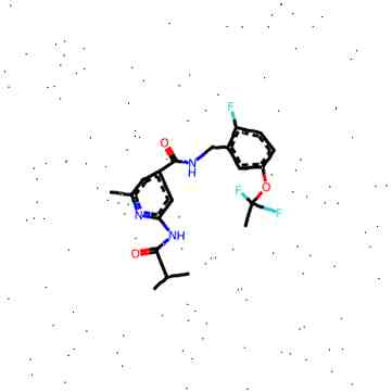 Cc1cc(C(=O)NCc2cc(OC(C)(F)F)ccc2F)cc(NC(=O)C(C)C)n1